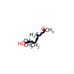 C=C(CC#C/C(C)=C/CCC(C)=O)CC#CC(C)(C)O